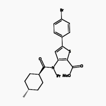 COC(=O)c1sc(-c2ccc(Br)cc2)cc1N(C(=O)[C@H]1CC[C@H](C)CC1)C(C)C